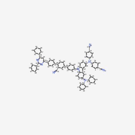 N#Cc1ccc(N(c2ccc(C#N)cc2)c2ccc3c(c2)c2cc(N(c4ccccc4)c4ccccc4)ccc2n3-c2ccc(-c3ccc(-c4ccc(-c5cc(-c6ccccc6)nc(-c6ccccc6)n5)cc4)c(C#N)c3)cc2)cc1